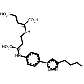 O=C(O)CC[C@H](NCC[C@@H](Nc1ccc(-n2cc(CCCF)nn2)cc1)C(=O)O)C(=O)O